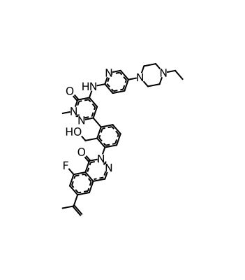 C=C(C)c1cc(F)c2c(=O)n(-c3cccc(-c4cc(Nc5ccc(N6CCN(CC)CC6)cn5)c(=O)n(C)n4)c3CO)ncc2c1